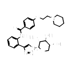 O=C(Nc1ccccc1-c1cn([C@@H]2OC[C@@H](O)[C@H](O)[C@H]2O)nn1)c1ccc(OCCN2CCCCC2)cc1